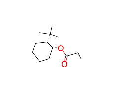 CCC(=O)O[C@@H]1CCCC[C@@H]1C(C)(C)C